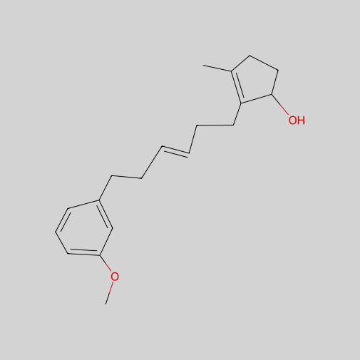 COc1cccc(CC/C=C/CCC2=C(C)CCC2O)c1